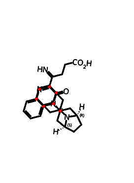 N=C(CCC(=O)O)c1nc2ccccc2n([C@H]2C[C@H]3CC[C@@H](C2)N3C2CC3CCCC(C3)C2)c1=O